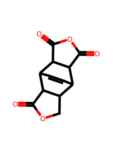 O=C1OCC2C3C=CC(C12)C1C(=O)OC(=O)C31